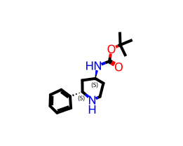 CC(C)(C)OC(=O)N[C@H]1CCN[C@H](c2ccccc2)C1